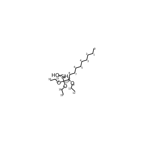 CCCCCCCCCC(OCC)C(OCC)(OCC)[SiH2]O